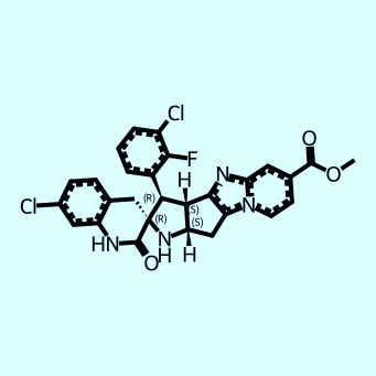 COC(=O)c1ccn2c3c(nc2c1)[C@@H]1[C@H](C3)N[C@]2(Cc3ccc(Cl)cc3NC2=O)[C@H]1c1cccc(Cl)c1F